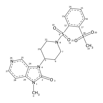 Cn1c(=O)n(C2CCN(S(=O)(=O)c3ccccc3S(C)(=O)=O)CC2)c2cnccc21